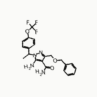 CC(c1ccc(OC(F)(F)F)cc1)n1nc(COCc2ccccc2)c(C(N)=O)c1N